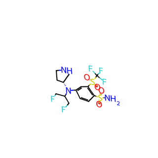 NS(=O)(=O)c1ccc(N(C(CF)CF)[C@@H]2CCNC2)cc1S(=O)(=O)C(F)(F)F